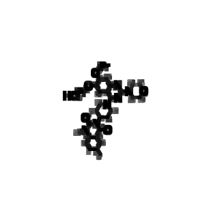 Cc1ccc2c(c1)c(=O)n(C1CCN(c3nc(N4CCOCC4)nc4cc(OC(C)C)c(OC(C)C)cc34)CC1)c(=O)n2C.Cl